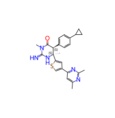 Cc1cc(-c2csc([C@@]3(C)NC(=N)N(C)C(=O)[C@H]3c3ccc(C4CC4)cc3)c2)nc(C)n1